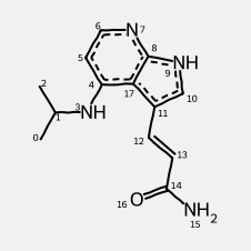 CC(C)Nc1ccnc2[nH]cc(C=CC(N)=O)c12